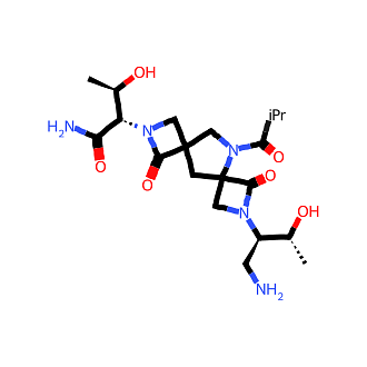 CC(C)C(=O)N1CC2(CN([C@H](C(N)=O)[C@@H](C)O)C2=O)CC12CN([C@H](CN)[C@@H](C)O)C2=O